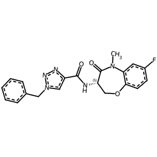 CN1C(=O)[C@@H](NC(=O)c2cn(Cc3ccccc3)nn2)COc2ccc(F)cc21